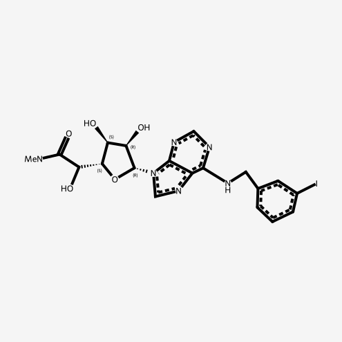 CNC(=O)C(O)[C@H]1O[C@@H](n2cnc3c(NCc4cccc(I)c4)ncnc32)[C@H](O)[C@@H]1O